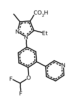 CCc1c(C(=O)O)c(C)nn1-c1ccc(OC(F)F)c(-c2cccnc2)c1